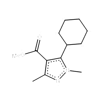 COC(=O)c1c(C)nn(C)c1C1CCCCC1